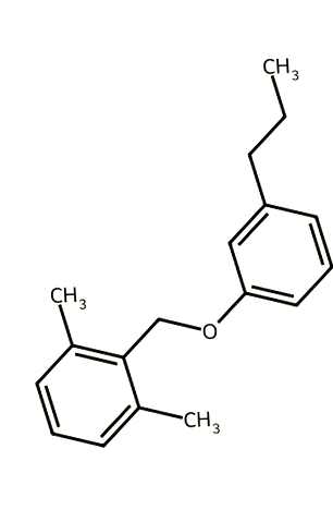 CCCc1cccc(OCc2c(C)cccc2C)c1